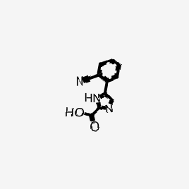 N#Cc1ccccc1-c1cnc(C(=O)O)[nH]1